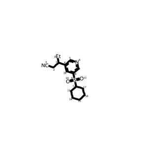 CCC(CC#N)c1cncc(S(=O)(=O)C2CCCCC2)c1